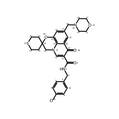 O=C(NCc1ccc(Cl)cc1)c1cn2c3c(cc(CN4CCOCC4)cc3c1=O)OC1(CCSCC1)C2